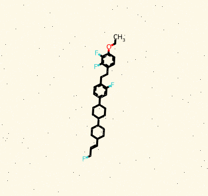 CCOc1ccc(CCc2ccc(C3CCC(C4CCC(/C=C/CF)CC4)CC3)cc2F)c(F)c1F